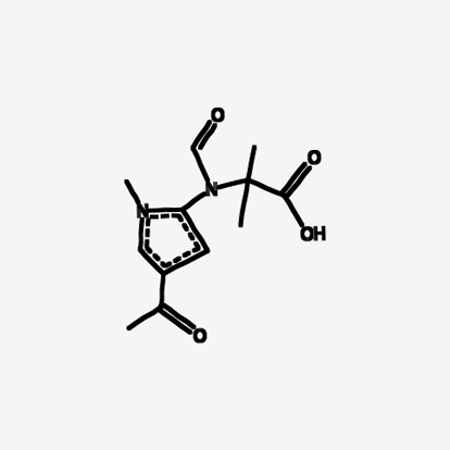 CC(=O)c1cc(N(C=O)C(C)(C)C(=O)O)n(C)c1